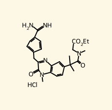 CCOC(=O)CN(C)C(=O)C(C)(C)c1ccc2c(c1)nc(Cc1ccc(C(=N)N)cc1)c(=O)n2C.Cl